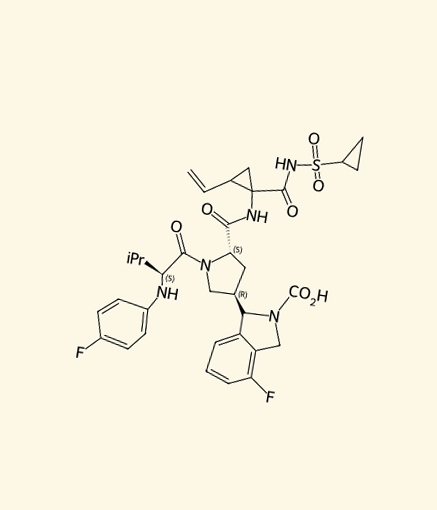 C=CC1CC1(NC(=O)[C@@H]1C[C@@H](C2c3cccc(F)c3CN2C(=O)O)CN1C(=O)[C@@H](Nc1ccc(F)cc1)C(C)C)C(=O)NS(=O)(=O)C1CC1